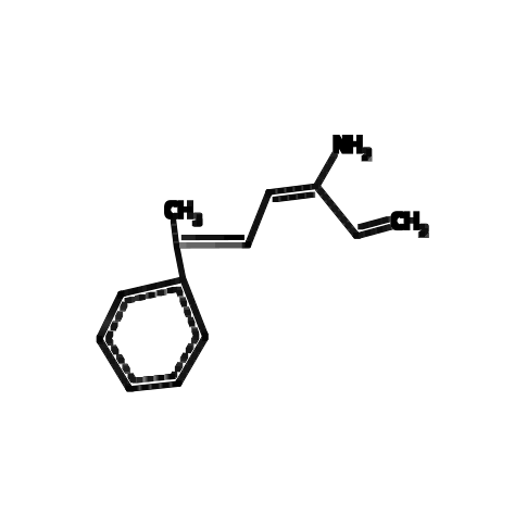 C=C/C(N)=C\C=C(/C)c1ccccc1